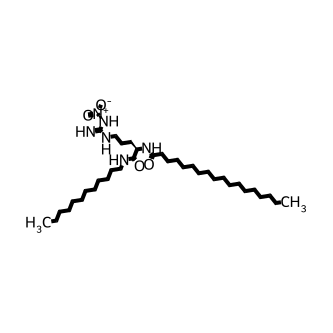 CCCCCCCCCCCCCCCCCC(=O)N[C@H](CCCNC(=N)N[N+](=O)[O-])C(=O)NCCCCCCCCCCCC